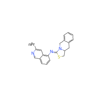 CCCc1cc2c(N=C3SCC4Cc5ccccc5CN34)cccc2cn1